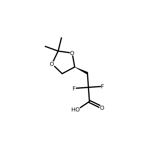 CC1(C)OC[C@H](CC(F)(F)C(=O)O)O1